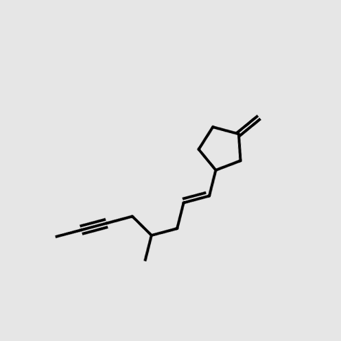 C=C1CCC(/C=C/CC(C)CC#CC)C1